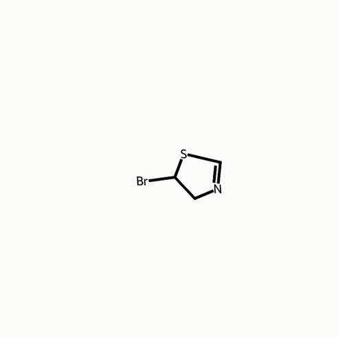 BrC1CN=CS1